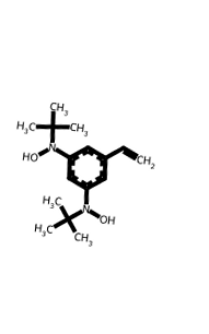 C=Cc1cc(N(O)C(C)(C)C)cc(N(O)C(C)(C)C)c1